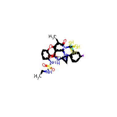 CCNS(=O)(=O)Nc1cccc(Oc2c(C(=O)NC3CC3)c(Nc3ccc(I)cc3F)n(C(S)(S)S)c(=O)c2C)c1OC